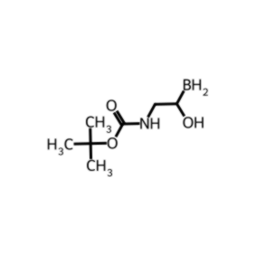 BC(O)CNC(=O)OC(C)(C)C